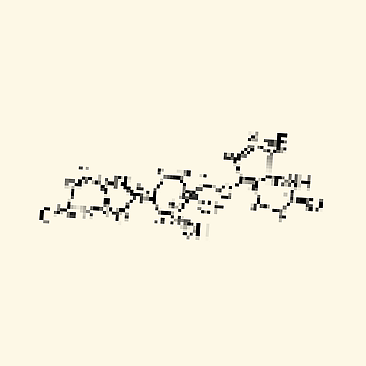 O=C1CCc2c(OC[C@]3(O)CCN(c4nc5ccc(Cl)cc5o4)C[C@H]3O)ccc(F)c2N1